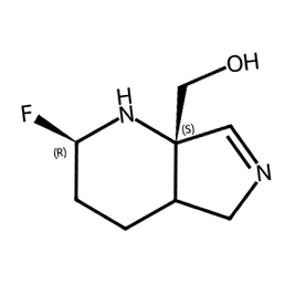 OC[C@@]12C=NCC1CC[C@@H](F)N2